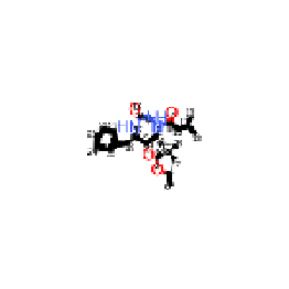 CCOC(O[C@@H]1CN(C(=O)CC(C)C)NC(=O)N[C@@H]1Cc1ccccc1)[Si](C)(C)C